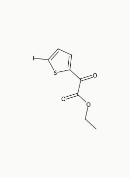 CCOC(=O)C(=O)c1ccc(I)s1